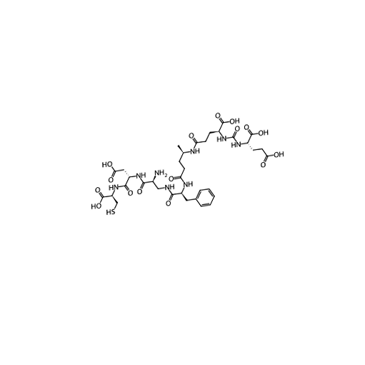 C[C@H](CCC(=O)N[C@@H](Cc1ccccc1)C(=O)NC[C@H](N)C(=O)N[C@@H](CC(=O)O)C(=O)N[C@@H](CS)C(=O)O)NC(=O)CC[C@H](NC(=O)N[C@@H](CCC(=O)O)C(=O)O)C(=O)O